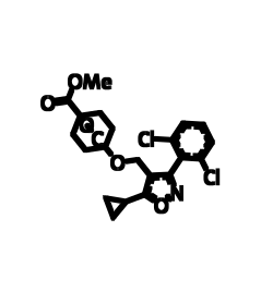 COC(=O)C12CCC(OCc3c(-c4c(Cl)cccc4Cl)noc3C3CC3)(CC1)CO2